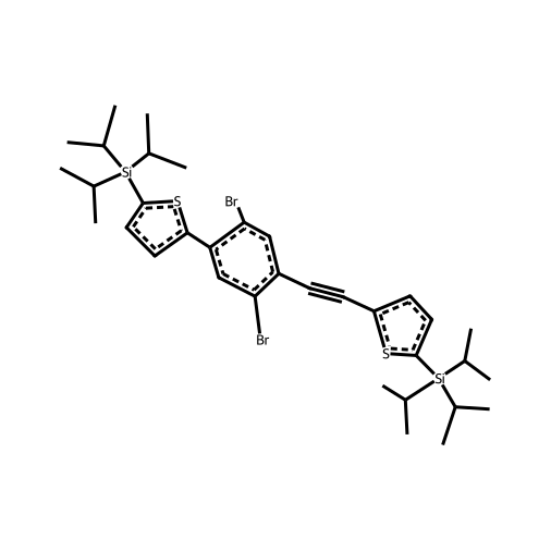 CC(C)[Si](c1ccc(C#Cc2cc(Br)c(-c3ccc([Si](C(C)C)(C(C)C)C(C)C)s3)cc2Br)s1)(C(C)C)C(C)C